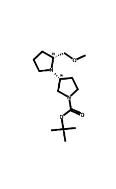 COC[C@H]1CCCN1[C@@H]1CCN(C(=O)OC(C)(C)C)C1